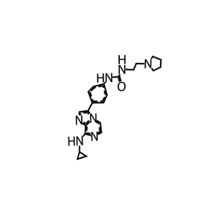 O=C(NCCN1CCCC1)Nc1ccc(-c2cnc3c(NC4CC4)nccn23)cc1